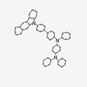 c1ccc(N(c2ccccc2)c2ccc(N(c3ccccc3)c3ccc(-c4ccc(-n5c6ccccc6c6cc7ccccc7cc65)cc4)cc3)cc2)cc1